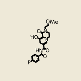 COCCN1CCN2C=C(C(=O)NC(=O)c3ccc(F)cc3)CC(O)=C2C1=O